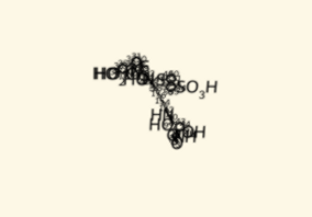 CS(=O)(=O)Nc1cc([C@@H](O)CNCCCCCCCCCN2CCC(N(C(=O)O)c3c(F)cccc3-c3ccc(O)cc3)CC2)ccc1O.O=S(=O)(O)c1cccc2c(S(=O)(=O)O)cccc12